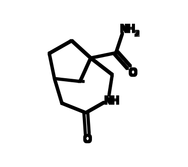 NC(=O)C12[CH]C(CC1)CC(=O)NC2